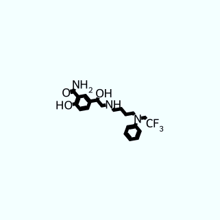 NC(=O)c1cc(C(O)CNCCCCN(CC(F)(F)F)c2ccccc2)ccc1O